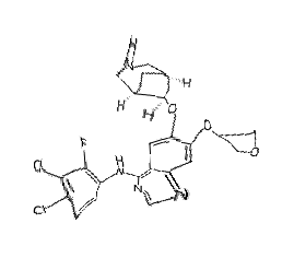 Fc1c(Nc2ncnc3cc(OC4COC4)c(O[C@@H]4[C@@H]5CNC[C@H]4C5)cc23)ccc(Cl)c1Cl